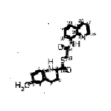 Cc1ccc2c(c1)CCC(C(=O)SCC(=O)Nc1cccc3cccnc13)N2